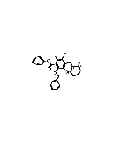 Cc1c(F)c(CN2CCCC[C@@H]2C)c(Br)c(OCc2ccccc2)c1C(=O)Oc1ccccc1